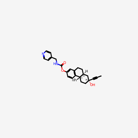 CC#C[C@@]1(O)CC[C@]2(CCC)c3ccc(OC(=O)NCc4ccncc4)cc3CC[C@H]2C1